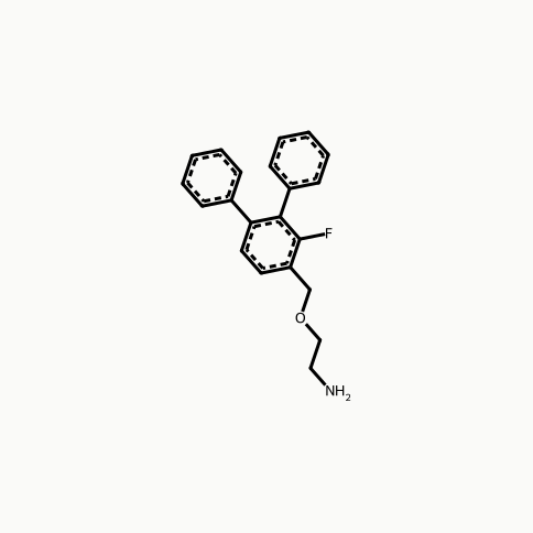 NCCOCc1ccc(-c2ccccc2)c(-c2ccccc2)c1F